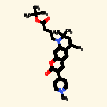 CC1=CC(C)(C)N(CCCC(=O)OC(C)(C)C)c2cc3oc(=O)c(-c4cc[n+](C)cc4)cc3cc21